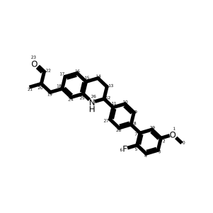 COc1ccc(F)c(-c2ccc(C3CCc4ccc(CC(C)C=O)cc4N3)cc2)c1